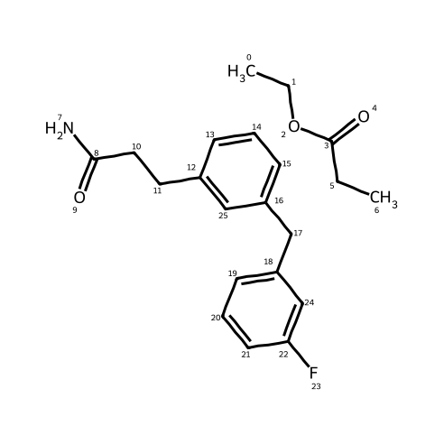 CCOC(=O)CC.NC(=O)CCc1cccc(Cc2cccc(F)c2)c1